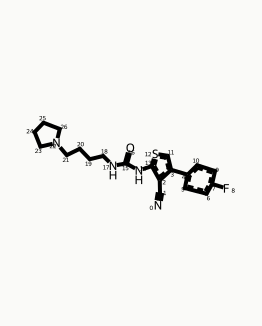 N#Cc1c(-c2ccc(F)cc2)csc1NC(=O)NCCCCN1CCCC1